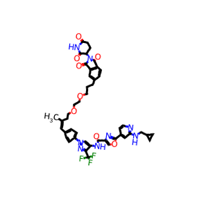 C/C(=C/c1ccc(-n2cc(NC(=O)c3coc(-c4ccnc(NCC5CC5)c4)n3)c(C(F)(F)F)n2)cc1)CCOCCOCCCc1ccc2c(c1)C(=O)N(C1CCC(=O)NC1=O)C2=O